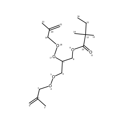 C=C(C)COOCC(COC(=O)C(C)(C)CC)OOCC(=C)C